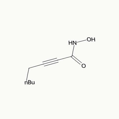 CCCCCC#CC(=O)NO